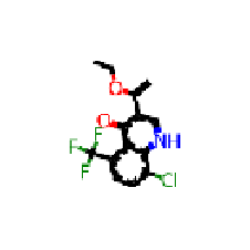 C=C(OCC)c1c[nH]c2c(Cl)ccc(C(F)(F)F)c2c1=O